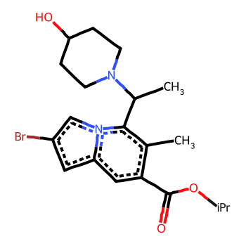 Cc1c(C(=O)OC(C)C)cc2cc(Br)cn2c1C(C)N1CCC(O)CC1